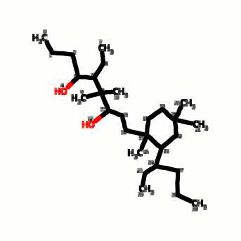 CCCC(O)C(CC)C(C)(C)C(O)CCC1(C)CCC(C)(C)CC1C(CC)CCC